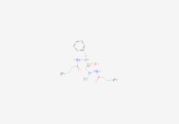 CCN(C[C@H](O)[C@H](Cc1ccccc1)NC(=O)CCC(C)C)NC(=O)CCC(C)C